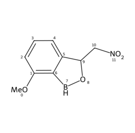 COc1cccc2c1BOC2C[N+](=O)[O-]